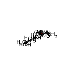 CC(NC(=O)CNC(=O)CNC(=O)c1coc(CNC(=O)C(C)NC(=O)CNC(=O)C(N)CCC(N)=O)n1)C(=O)O